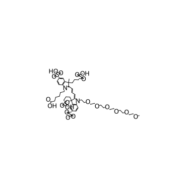 COCCOCCOCCOCCOCCOCCN1/C(=C/C=C/C2=[N+](CCCCCC(=O)O)c3ccc(S(=O)(=O)O)cc3C2(C)CCCS(=O)(=O)O)C(C)(CCCS(=O)(=O)O)c2cc(S(=O)(=O)[O-])ccc21